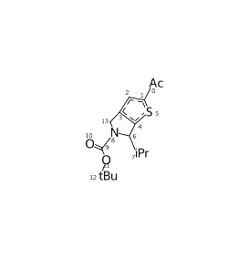 CC(=O)c1cc2c(s1)C(C(C)C)N(C(=O)OC(C)(C)C)C2